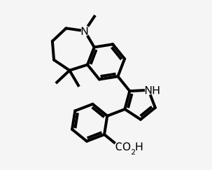 CN1CCCC(C)(C)c2cc(-c3[nH]ccc3-c3ccccc3C(=O)O)ccc21